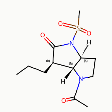 CCC[C@H]1C(=O)N(S(C)(=O)=O)[C@H]2CCN(C(C)=O)[C@H]12